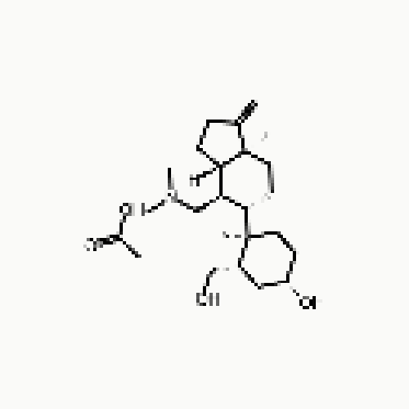 C=C1CC[C@H]2[C@H](CN(C)C)[C@@H]([C@@]3(C)CC[C@H](O)C[C@@H]3CO)CC[C@]12C.CC(=O)O